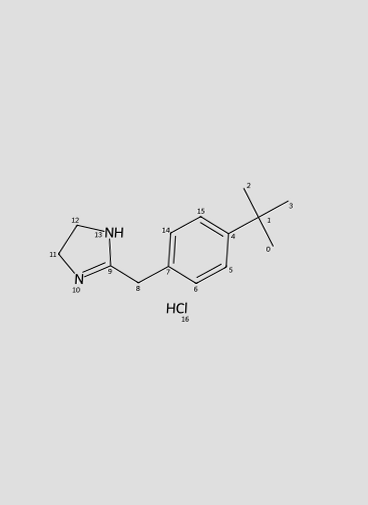 CC(C)(C)c1ccc(CC2=NCCN2)cc1.Cl